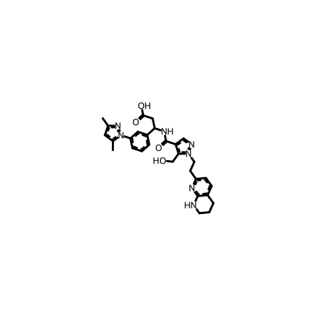 Cc1cc(C)n(-c2cccc(C(CC(=O)O)NC(=O)c3cnn(CCc4ccc5c(n4)NCCC5)c3CO)c2)n1